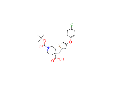 CC(C)(C)OC(=O)N1CCC(Cc2cc(Oc3ccc(Cl)cc3)cs2)(C(=O)O)CC1